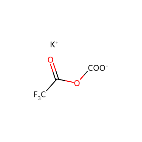 O=C([O-])OC(=O)C(F)(F)F.[K+]